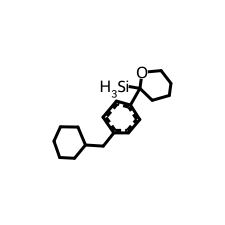 [SiH3]C1(c2ccc(CC3CCCCC3)cc2)CCCCO1